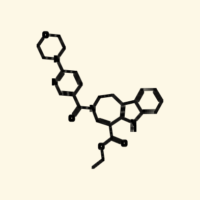 CCOC(=O)C1=CN(C(=O)c2ccc(N3CCOCC3)nc2)CCc2c1[nH]c1ccccc21